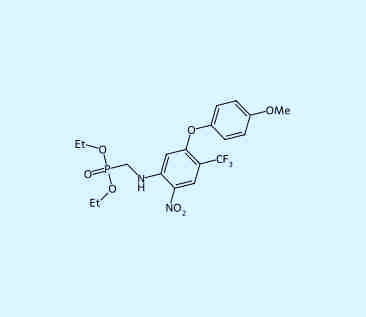 CCOP(=O)(CNc1cc(Oc2ccc(OC)cc2)c(C(F)(F)F)cc1[N+](=O)[O-])OCC